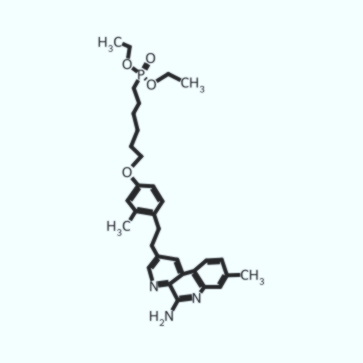 CCOP(=O)(CCCCCCOc1ccc(CCc2cnc3c(N)nc4cc(C)ccc4c3c2)c(C)c1)OCC